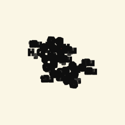 CC1c2cc(ccc2CC(C)(C)c2cc(-n3c4cccc5c4c4c(c(C(C)(C)C)ccc43)C(C)(C)c3cc(CC(C)(C)c4cc(-n6c7cccc8c7c7c(c(-c9cc(C(C)(C)C)cc(C(C)(C)C)c9)ccc76)C(C)(C)c6cccc-8c6)cc(C(C)(C)C)c4)cc-5c3)cc(C(C)(C)C)c2)-c2cccc3c2c2c1c(-n1c4ccccc4c4ccccc41)ccc2n3-c1cc(C(C)(C)C)cc(C(C)(C)C)c1